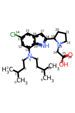 CC(C)CCN(CCC(C)C)c1cc(Cl)cc2cc(C3CCCN3CC(=O)O)[nH]c12